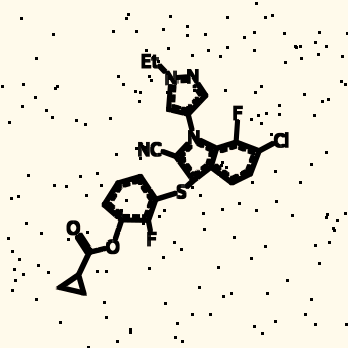 CCn1cc(-n2c(C#N)c(Sc3cccc(OC(=O)C4CC4)c3F)c3ccc(Cl)c(F)c32)cn1